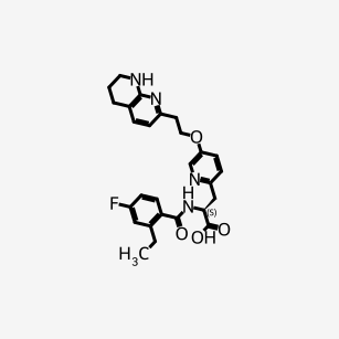 CCc1cc(F)ccc1C(=O)N[C@@H](Cc1ccc(OCCc2ccc3c(n2)NCCC3)cn1)C(=O)O